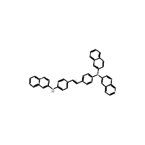 C(=C\c1ccc(N(c2ccc3ccccc3c2)c2ccc3ccccc3c2)cc1)/c1ccc(Nc2ccc3ccccc3c2)cc1